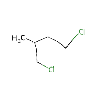 C[C](CCl)CCCl